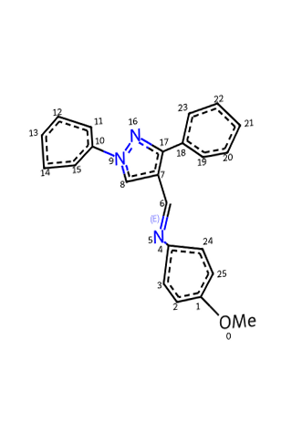 COc1ccc(/N=C/c2cn(-c3ccccc3)nc2-c2ccccc2)cc1